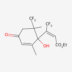 CCOC(=O)/C=C(/C(F)(F)F)C1(O)C(C)=CC(=O)CC1(C)C(F)(F)F